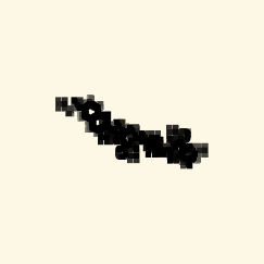 Nc1ccc2nc(-c3nc4nc(NN=NNc5nc6nc[nH]c6c(=O)[nH]5)[nH]c(=O)c4[nH]3)ccc2c1